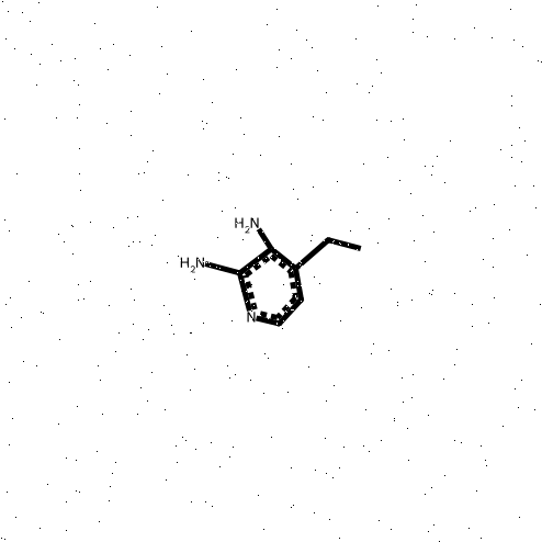 CCc1ccnc(N)c1N